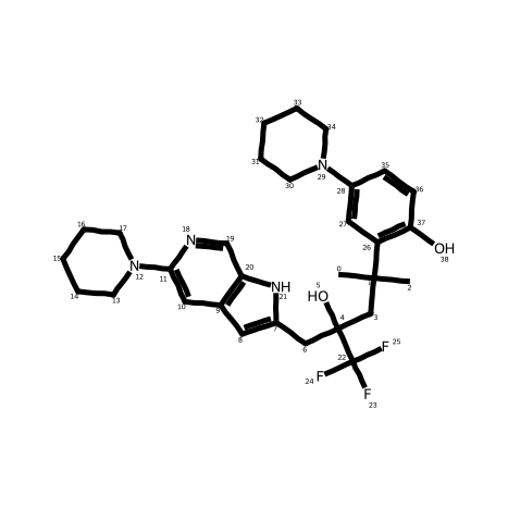 CC(C)(CC(O)(Cc1cc2cc(N3CCCCC3)ncc2[nH]1)C(F)(F)F)c1cc(N2CCCCC2)ccc1O